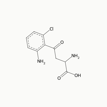 Nc1cccc(Cl)c1C(=O)CC(N)C(=O)O